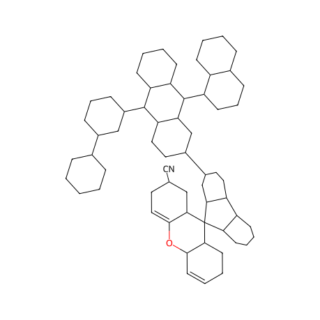 N#CC1CC=C2OC3C=CCCC3C3(C2C1)C1CCCCC1C1CCC(C2CCC4C(C2)C(C2CCCC5CCCCC52)C2CCCCC2C4C2CCCC(C4CCCCC4)C2)CC13